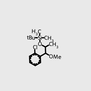 COC(c1ccccc1Cl)C(C)O[Si](C)(C)C(C)(C)C